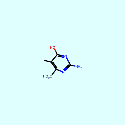 Cc1c(O)nc(N)nc1C(=O)O